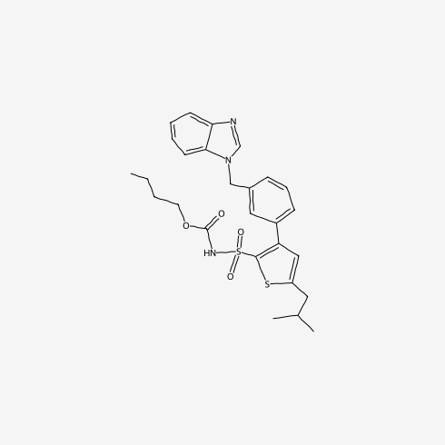 CCCCOC(=O)NS(=O)(=O)c1sc(CC(C)C)cc1-c1cccc(Cn2cnc3ccccc32)c1